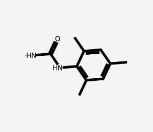 Cc1cc(C)c(NC([NH])=O)c(C)c1